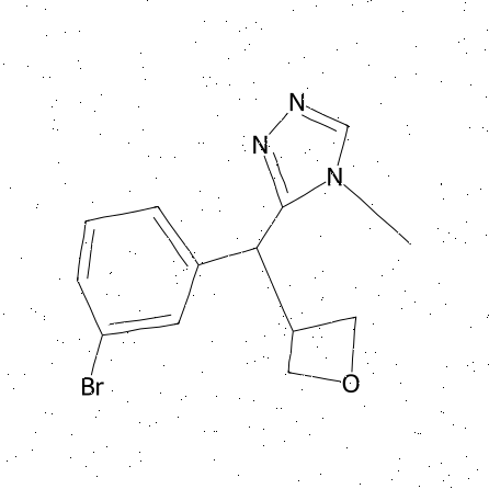 Cn1cnnc1C(c1cccc(Br)c1)C1COC1